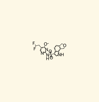 COc1nc(NS(=O)(=O)c2c[nH]c3c4c(ccc23)COC4)ncc1CC(F)F